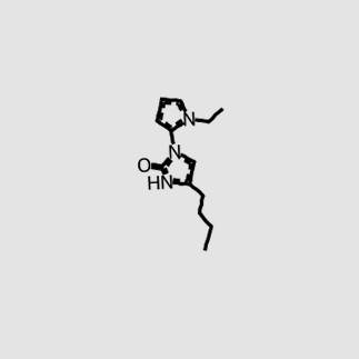 CCCCc1cn(-c2cccn2CC)c(=O)[nH]1